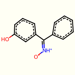 [O-][NH+]=C(c1ccccc1)c1cccc(O)c1